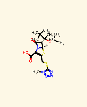 Cn1nnnc1SCC1=C(C(=O)O)N2C(=O)[C@H](C(C)(O[SiH](C)C)C(C)(C)C)[C@H]2S1